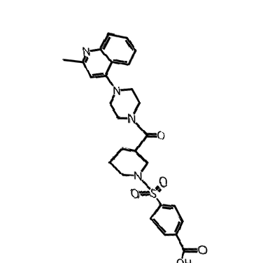 Cc1cc(N2CCN(C(=O)C3CCCN(S(=O)(=O)c4ccc(C(=O)O)cc4)C3)CC2)c2ccccc2n1